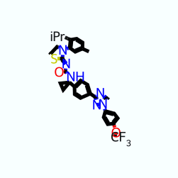 Cc1ccc(C(C)C)c(N2CCS/C2=N\C(=O)NC2(c3ccc(-c4ncn(-c5ccc(OC(F)(F)F)cc5)n4)cc3)CC2)c1